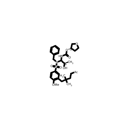 COc1ccc(S(=O)(=O)N(Cc2ccccc2)C(NC(=O)O[C@H]2CCOC2)[C@@H](C)O)cc1CC(C)(C)CCC(C)=O